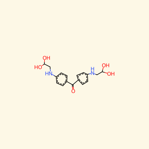 O=C(c1ccc(NCC(O)O)cc1)c1ccc(NCC(O)O)cc1